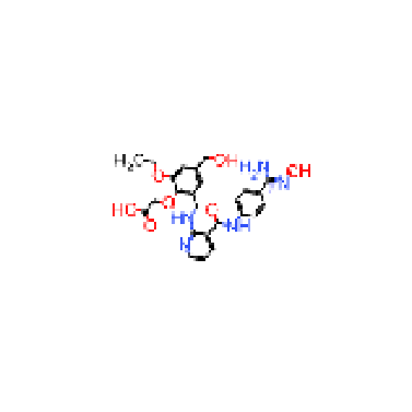 CCOc1cc(CO)cc(CNc2ncccc2C(=O)Nc2ccc(/C(N)=N/O)cc2)c1OCC(=O)O